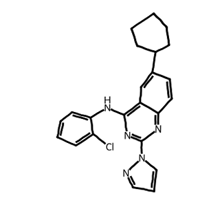 Clc1ccccc1Nc1nc(-n2cccn2)nc2ccc(C3CCCCC3)cc12